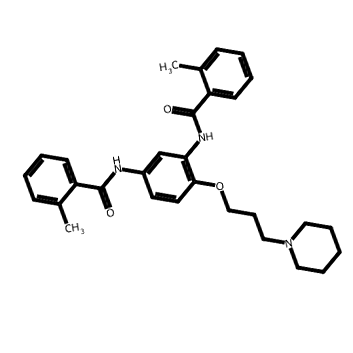 Cc1ccccc1C(=O)Nc1ccc(OCCCN2CCCCC2)c(NC(=O)c2ccccc2C)c1